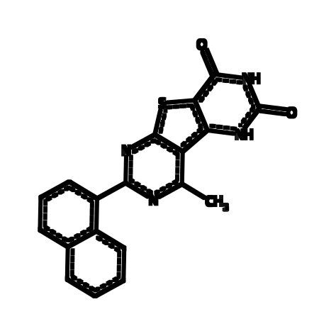 Cc1nc(-c2cccc3ccccc23)nc2sc3c(=O)[nH]c(=O)[nH]c3c12